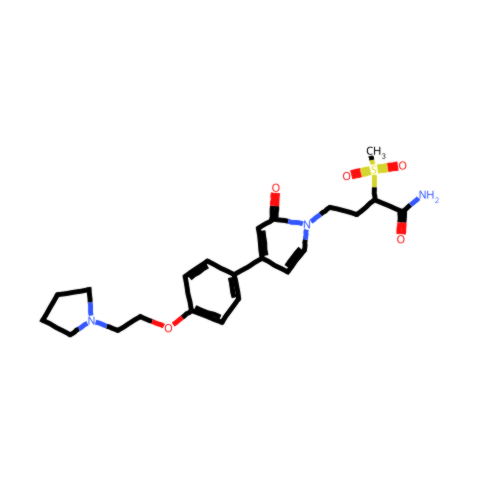 CS(=O)(=O)C(CCn1ccc(-c2ccc(OCCN3CCCC3)cc2)cc1=O)C(N)=O